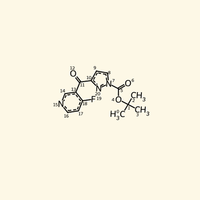 CC(C)(C)OC(=O)n1ccc(C(=O)c2cnccc2F)n1